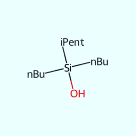 CCCC[Si](O)(CCCC)C(C)CCC